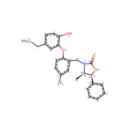 CCOC(=O)Cc1ccc(O)c(Oc2ccc(C(F)(F)F)cc2CN2C(=O)O[C@@H](c3ccccc3)[C@H]2C)c1